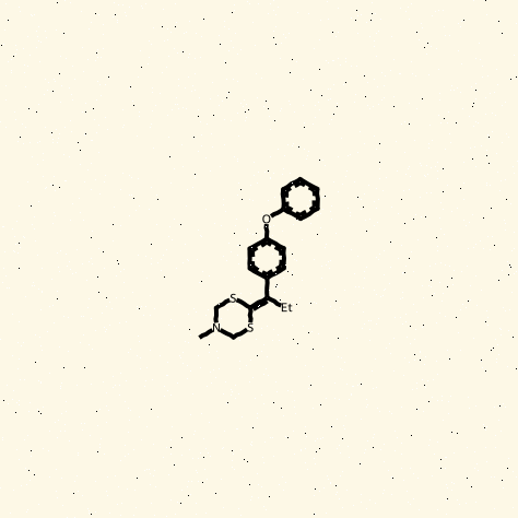 CCC(=C1SCN(C)CS1)c1ccc(Oc2ccccc2)cc1